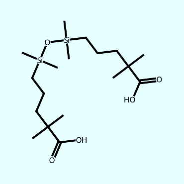 CC(C)(CCC[Si](C)(C)O[Si](C)(C)CCCC(C)(C)C(=O)O)C(=O)O